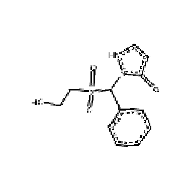 O=c1cc[nH]n1C(c1ccccc1)S(=O)(=O)CCO